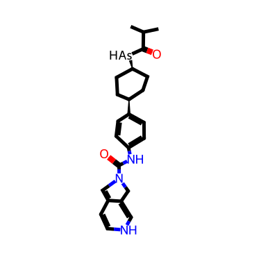 CC(C)C(=O)[AsH][C@H]1CC[C@@H](c2ccc(NC(=O)N3C=C4C=CNC=C4C3)cc2)CC1